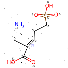 C/C(=C\CCS(=O)(=O)O)C(=O)O.N